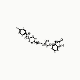 Cc1ccc(S(=O)(=O)N2CCC(CNC[C@@H](O)COc3cccc4[nH]c(=O)[nH]c34)CC2)cc1